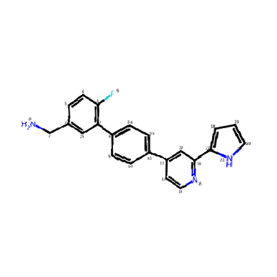 NCc1ccc(F)c(-c2c[c]c(-c3ccnc(-c4ccc[nH]4)c3)cc2)c1